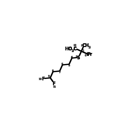 CC(C)C(C)(SCCCCCC(F)F)C(=O)O